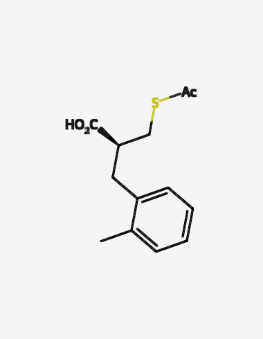 CC(=O)SC[C@@H](Cc1ccccc1C)C(=O)O